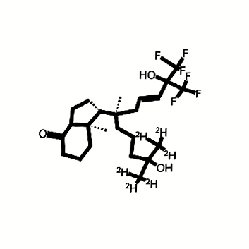 [2H]C([2H])([2H])C(O)(CCC[C@](C)(C/C=C/C(O)(C(F)(F)F)C(F)(F)F)[C@H]1CCC2C(=O)CCC[C@@]21C)C([2H])([2H])[2H]